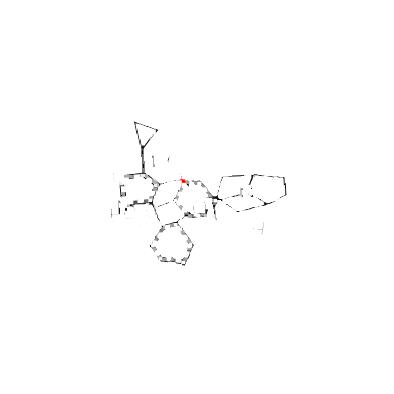 Cc1cc(N2C3CC[C@H]2CC(OCc2c(-c4ccccc4C)noc2C2CC2)C3)ncc1C(=O)O